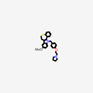 COc1ccc2c(c1)c1c(n2Cc2ccc(OCCN3CCCC3)cc2)-c2ccccc2SCC1